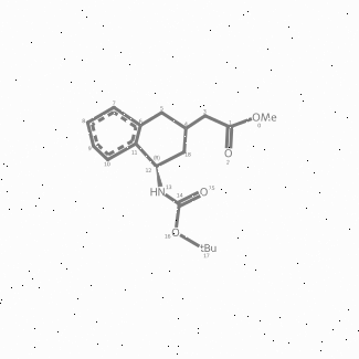 COC(=O)CC1Cc2ccccc2[C@H](NC(=O)OC(C)(C)C)C1